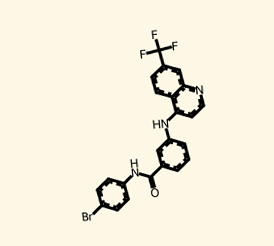 O=C(Nc1ccc(Br)cc1)c1cccc(Nc2ccnc3cc(C(F)(F)F)ccc23)c1